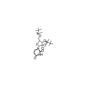 CC(C)(C)[Si](C)(C)OCC1OC(n2ccc(=O)[nH]c2=O)C(Cl)(Cl)C1O[Si](C)(C)C(C)(C)C